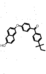 CCC(C)(C)c1ccc(C(=O)c2ccc(Oc3ccc4cc(O)ccc4c3)cc2)cc1